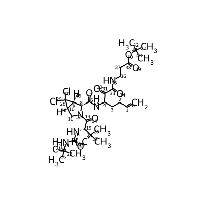 C=CCCC(NC(=O)[C@@H]1[C@@H]2[C@H](CN1C(=O)[C@@H](NC(=O)NC(C)(C)C)C(C)(C)C)C2(Cl)Cl)C(=O)C(=O)NCCC(=O)OC(C)(C)C